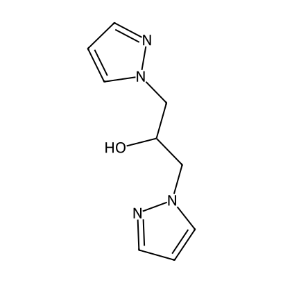 OC(Cn1cccn1)Cn1cccn1